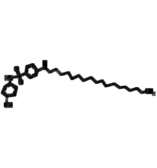 CCCCCCCCCCCCCCCCCCNc1ccc(S(=O)(=O)Nc2ccc(O)cc2)cc1